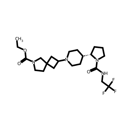 CCOC(=O)N1CCC2(CC(N3CCC([C@@H]4CCCN4C(=O)NCC(F)(F)F)CC3)C2)C1